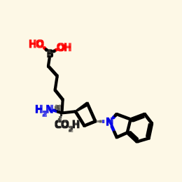 N[C@](CCCCB(O)O)(C(=O)O)[C@H]1C[C@H](N2Cc3ccccc3C2)C1